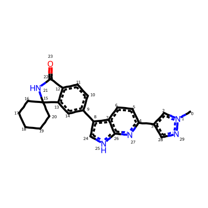 Cn1cc(-c2ccc3c(-c4ccc5c(c4)C4(CCCCC4)NC5=O)c[nH]c3n2)cn1